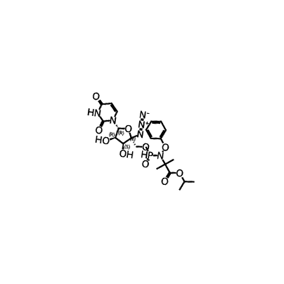 CC(C)OC(=O)C(C)(C)N(Oc1ccccc1)[PH](=O)OC[C@@]1(N=[N+]=[N-])O[C@@H](n2ccc(=O)[nH]c2=O)[C@H](O)[C@@H]1O